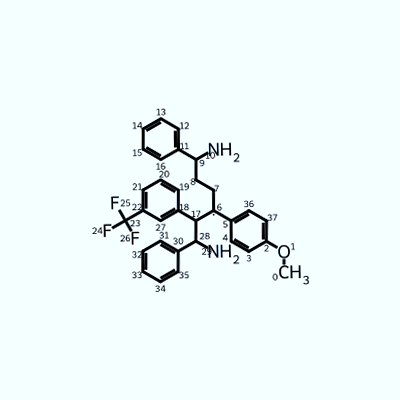 COc1ccc([C](CCC(N)c2ccccc2)C(c2cccc(C(F)(F)F)c2)C(N)c2ccccc2)cc1